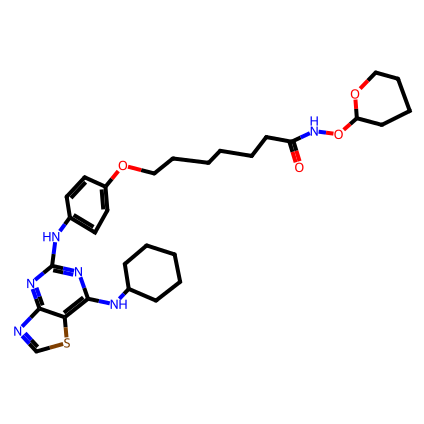 O=C(CCCCCCOc1ccc(Nc2nc(NC3CCCCC3)c3scnc3n2)cc1)NOC1CCCCO1